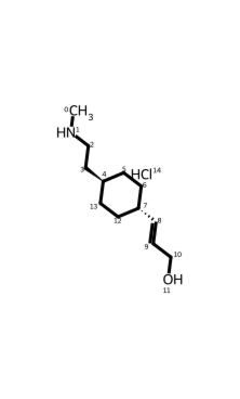 CNCC[C@H]1CC[C@H](/C=C/CO)CC1.Cl